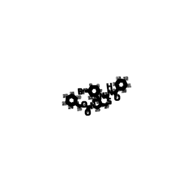 O=C(NC1=NC2(c3cccc(Br)c3)CN(C(=O)OCc3ccccc3)CC2CS1)c1ccccc1